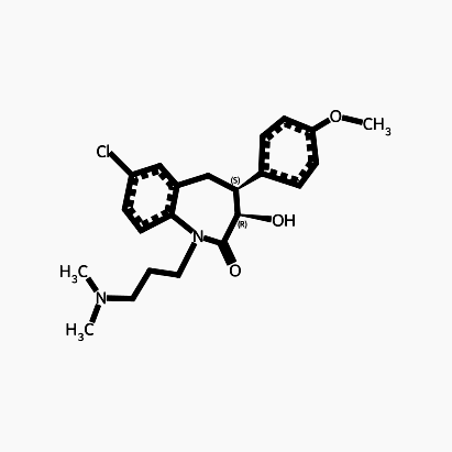 COc1ccc([C@@H]2Cc3cc(Cl)ccc3N(CCCN(C)C)C(=O)[C@@H]2O)cc1